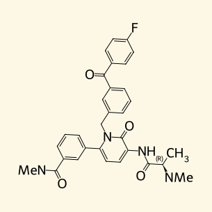 CNC(=O)c1cccc(-c2ccc(NC(=O)[C@@H](C)NC)c(=O)n2Cc2cccc(C(=O)c3ccc(F)cc3)c2)c1